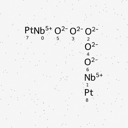 [Nb+5].[Nb+5].[O-2].[O-2].[O-2].[O-2].[O-2].[Pt].[Pt]